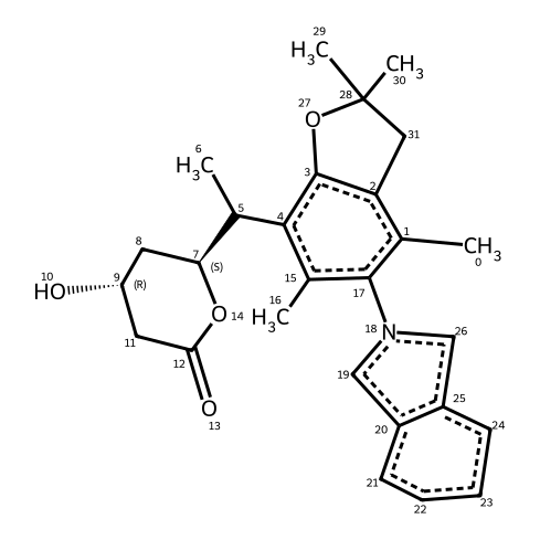 Cc1c2c(c(C(C)[C@@H]3C[C@@H](O)CC(=O)O3)c(C)c1-n1cc3ccccc3c1)OC(C)(C)C2